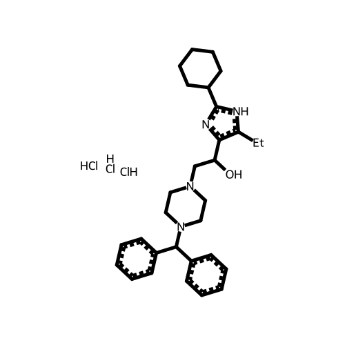 CCc1[nH]c(C2CCCCC2)nc1C(O)CN1CCN(C(c2ccccc2)c2ccccc2)CC1.Cl.Cl.Cl